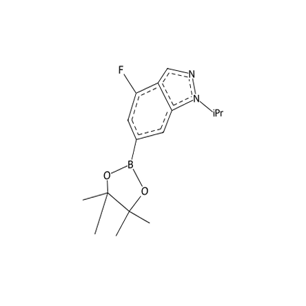 CC(C)n1ncc2c(F)cc(B3OC(C)(C)C(C)(C)O3)cc21